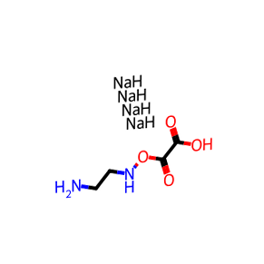 NCCNOC(=O)C(=O)O.[NaH].[NaH].[NaH].[NaH]